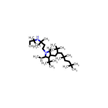 CBC1C(C(C)(C)C)C(CC(CC(C)(C)CCC(C)(C)C)C(C)(C)C)C(C)N1CCC(C)(C)NC(C)(C)CC